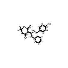 CC1(C)OC(=O)C(=C(Nc2ccccc2)SCc2ccc(F)cc2)C(=O)O1